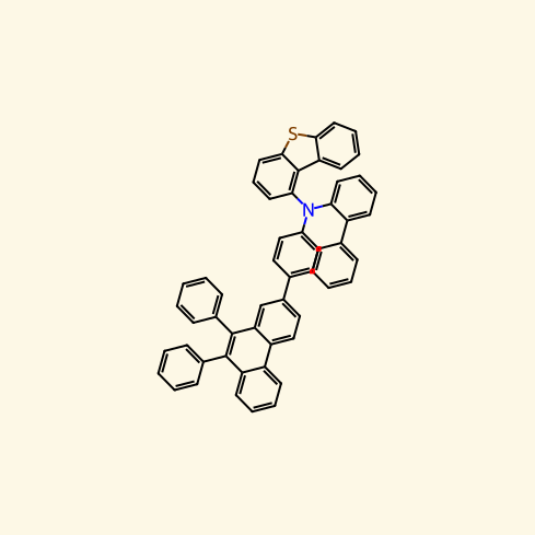 c1ccc(-c2ccccc2N(c2ccc(-c3ccc4c(c3)c(-c3ccccc3)c(-c3ccccc3)c3ccccc34)cc2)c2cccc3sc4ccccc4c23)cc1